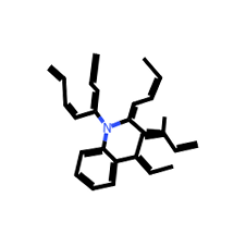 C=C/C=C\C(=C/C)c1ccccc1N(C(/C=C\C=C)=C/C=C)C(/C=C\C)=C/C=C\C